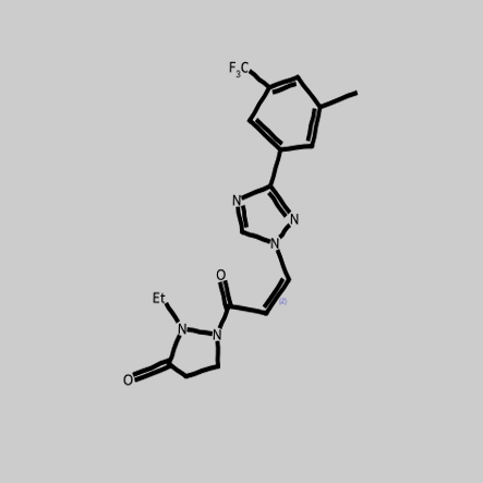 CCN1C(=O)CCN1C(=O)/C=C\n1cnc(-c2cc(C)cc(C(F)(F)F)c2)n1